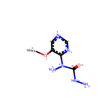 CCCCCCOc1cncnc1N(N)C(=O)NN